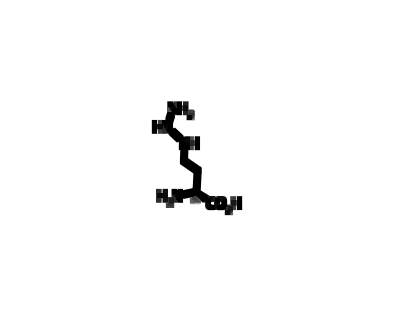 NNNCC[C@H](N)C(=O)O